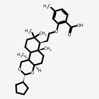 Cc1ccc(C(=O)O)c(OCC[C@@H]2C(C)(C)CCC3[C@]4(C)CO[C@@H](C5CCCC5)O[C@@H]4CC[C@]32C)c1